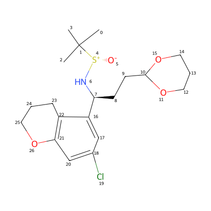 CC(C)(C)[S@+]([O-])N[C@@H](CCC1OCCCO1)c1cc(Cl)cc2c1CCCO2